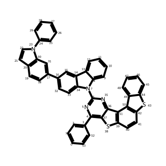 c1ccc(-c2nc(-n3c4ccccc4c4cc(-c5ccc6ccn(-c7ccccc7)c6c5)ccc43)nc3c2sc2ccc4sc5ccccc5c4c23)cc1